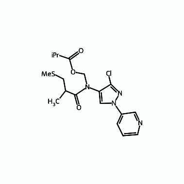 CSCC(C)C(=O)N(COC(=O)C(C)C)c1cn(-c2cccnc2)nc1Cl